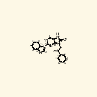 CC(Cn1c(=O)[nH]c2cnc(-n3cnc4ccccc43)nc21)c1cccnc1